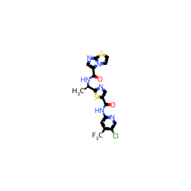 C[C@@H](NC(=O)c1cnc2sccn12)c1ncc(C(=O)Nc2cc(C(F)(F)F)c(Cl)cn2)s1